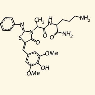 COc1cc(C=C2SC(=Nc3ccccc3)N(C(C)C(=O)NC(CCCN)C(N)=O)C2=O)cc(OC)c1O